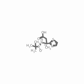 CC(C)(C)[S@@+]([O-])N[C@@](C)(CC(=O)O)c1nccs1